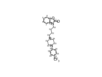 O=c1oc2ccccc2n1CCCCN1CCN(c2ccc(C(F)(F)F)cc2)CC1